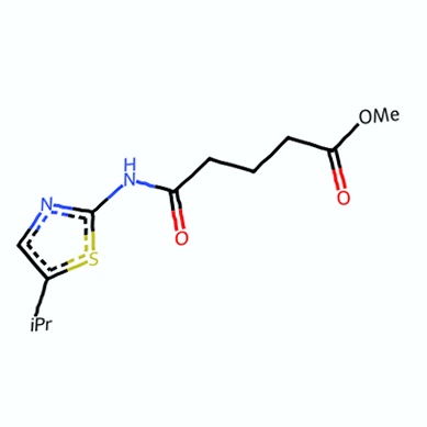 COC(=O)CCCC(=O)Nc1ncc(C(C)C)s1